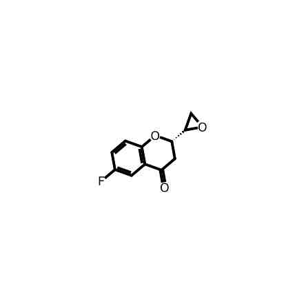 O=C1C[C@@H](C2CO2)Oc2ccc(F)cc21